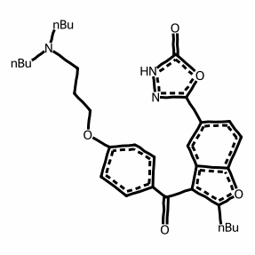 CCCCc1oc2ccc(-c3n[nH]c(=O)o3)cc2c1C(=O)c1ccc(OCCCN(CCCC)CCCC)cc1